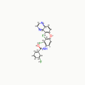 O=C(Nc1ccc(Oc2ccc3nccnc3c2)c(F)c1F)c1cccc(F)c1